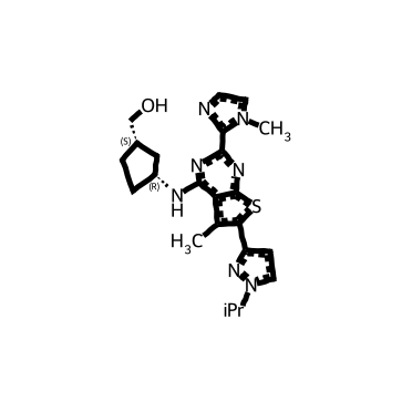 Cc1c(-c2ccn(C(C)C)n2)sc2nc(-c3nccn3C)nc(N[C@@H]3CC[C@H](CO)C3)c12